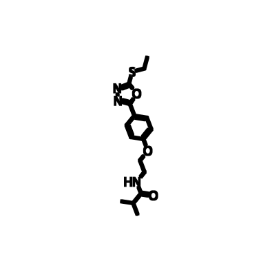 CCSc1nnc(-c2ccc(OCCNC(=O)C(C)C)cc2)o1